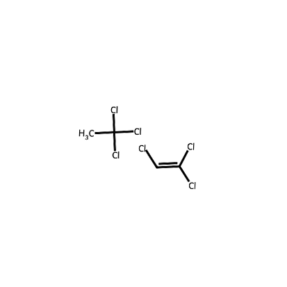 CC(Cl)(Cl)Cl.ClC=C(Cl)Cl